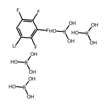 OB(O)O.OB(O)O.OB(O)O.OB(O)O.[Li][c]1cc(F)c(F)c(F)c1F